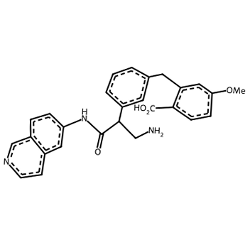 COc1ccc(C(=O)O)c(Cc2cccc(C(CN)C(=O)Nc3ccc4cnccc4c3)c2)c1